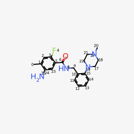 Cc1cc(F)c(C(=O)NCc2ccccc2N2CCN(C)CC2)cc1N